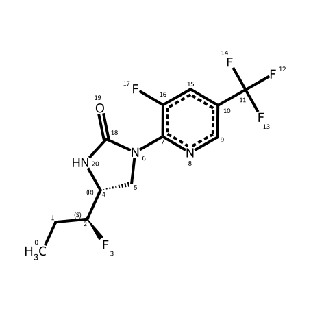 CC[C@H](F)[C@H]1CN(c2ncc(C(F)(F)F)cc2F)C(=O)N1